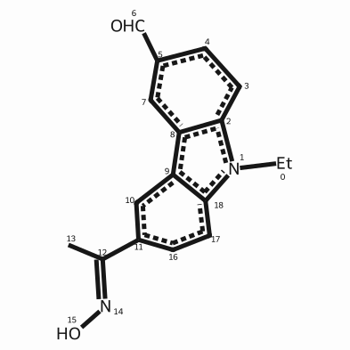 CCn1c2ccc(C=O)cc2c2cc(C(C)=NO)ccc21